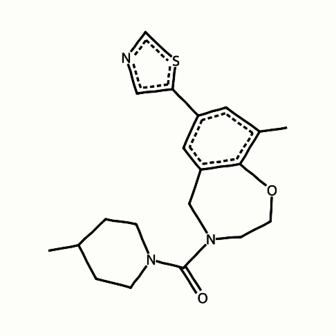 Cc1cc(-c2cncs2)cc2c1OCCN(C(=O)N1CCC(C)CC1)C2